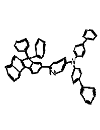 c1ccc(-c2ccc(N(c3ccc(-c4ccccc4)cc3)c3ccc(-c4ccc5c(c4)C(c4ccccc4)(c4ccccc4)c4ccc6ccccc6c4-5)nc3)cc2)cc1